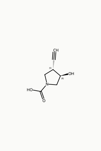 C#C[C@H]1CN(C(=O)O)C[C@@H]1O